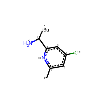 CCC(C)C(N)c1cc(Cl)cc(C)n1